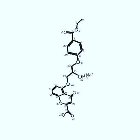 CCOC(=O)c1ccc(OCC(O)COc2cccc3oc(C(=O)[O-])cc(=O)c23)cc1.[Na+]